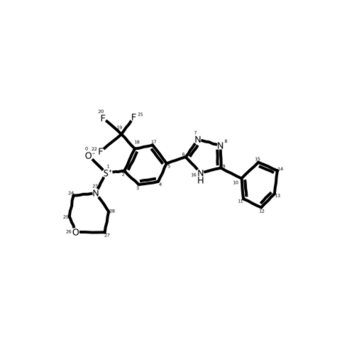 [O-][S+](c1ccc(-c2nnc(-c3ccccc3)[nH]2)cc1C(F)(F)F)N1CCOCC1